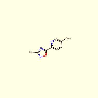 CCc1noc(-c2ccc(OC)cn2)n1